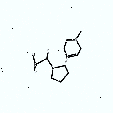 CCN(C(C)C)C(O)N1CCC[C@H]1C1=CCN(C)CC1